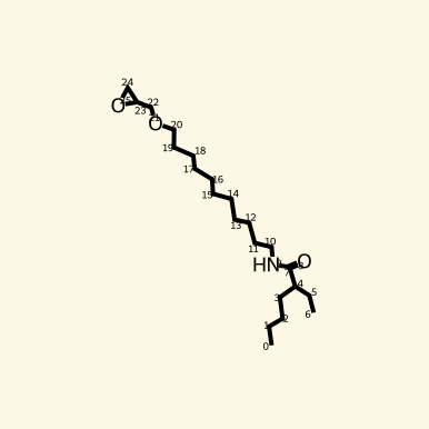 CCCCC(CC)C(=O)NCCCCCCCCCCCOCC1CO1